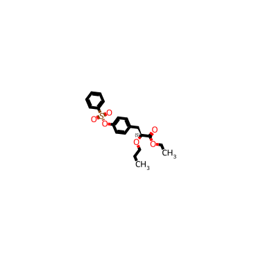 CCCO[C@@H](Cc1ccc(OS(=O)(=O)c2ccccc2)cc1)C(=O)OCC